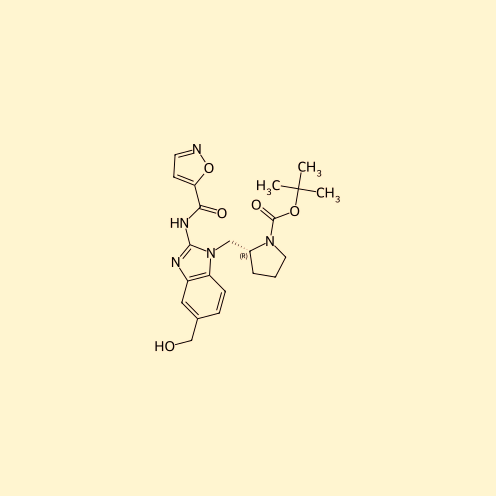 CC(C)(C)OC(=O)N1CCC[C@@H]1Cn1c(NC(=O)c2ccno2)nc2cc(CO)ccc21